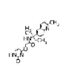 CCC(CC)(NC(=O)COc1cc[nH]c(=O)n1)c1ccc2nc(C)ccc2c1